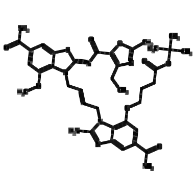 CCc1nc(C)oc1C(=O)/N=c1\sc2cc(C(N)=O)cc(OC)c2n1C/C=C/Cn1c(N)nc2cc(C(N)=O)cc(OCCCC(=O)OC(C)(C)C)c21